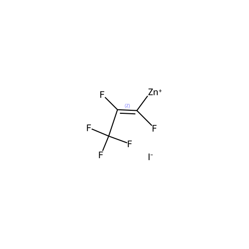 F/[C]([Zn+])=C(/F)C(F)(F)F.[I-]